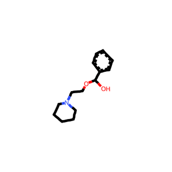 OC(OCCN1CCCCC1)c1ccccc1